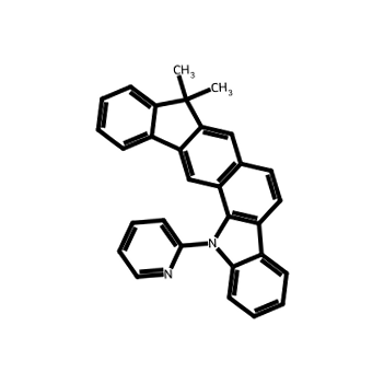 CC1(C)c2ccccc2-c2cc3c(ccc4c5ccccc5n(-c5ccccn5)c34)cc21